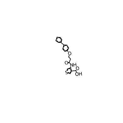 O=C(CCOc1ccc(-c2ccccc2)cc1)Nc1cscc1C(=O)O